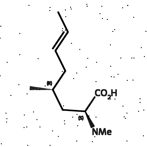 CC=CC[C@@H](C)C[C@H](NC)C(=O)O